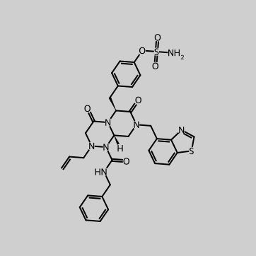 C=CCN1CC(=O)N2[C@@H](Cc3ccc(OS(N)(=O)=O)cc3)C(=O)N(Cc3cccc4scnc34)C[C@@H]2N1C(=O)NCc1ccccc1